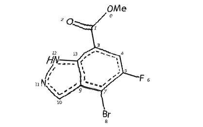 COC(=O)c1cc(F)c(Br)c2cn[nH]c12